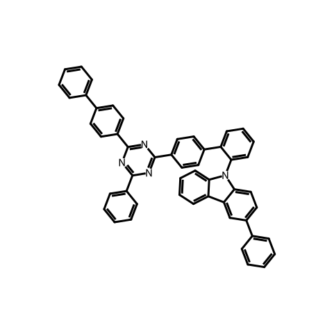 c1ccc(-c2ccc(-c3nc(-c4ccccc4)nc(-c4ccc(-c5ccccc5-n5c6ccccc6c6cc(-c7ccccc7)ccc65)cc4)n3)cc2)cc1